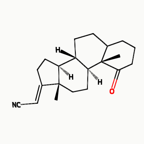 C[C@]12C(=O)CCCC1CC[C@@H]1[C@@H]2CC[C@]2(C)C(=CC#N)CC[C@@H]12